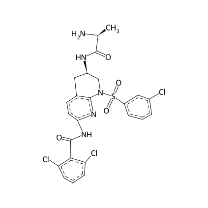 C[C@H](N)C(=O)N[C@@H]1Cc2ccc(NC(=O)c3c(Cl)cccc3Cl)nc2N(S(=O)(=O)c2cccc(Cl)c2)C1